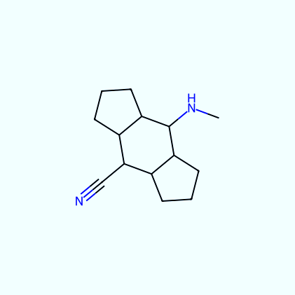 CNC1C2CCCC2C(C#N)C2CCCC21